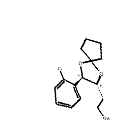 OCC[C@H]1OC2(CCCC2)O[C@@H]1c1ccccc1Cl